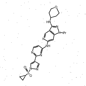 CC(C)n1nc(NC2CCOCC2)c2cnc(Nc3ccnc(-c4cnn(S(=O)(=O)C5CC5)c4)n3)cc21